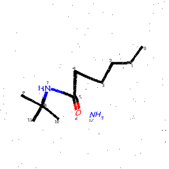 CCCCCC(=O)NC(C)(C)C.N